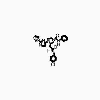 O=C(CC1CN(C(=O)Nc2ccccc2)CCN1c1ccnc(-n2ccnc2)n1)NCc1ccc(Cl)cc1